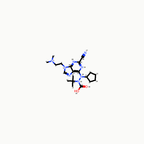 CN(C)CCn1cnc2c(N(C3CCCC3)N(C(=O)O)C(C)(C)C)nc(C#N)nc21